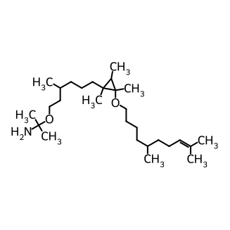 CC(C)=CCCC(C)CCCCOC1(C)C(C)C1(C)CCCC(C)CCOC(C)(C)N